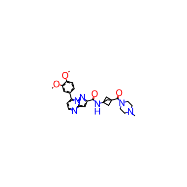 COc1ccc(-c2ccnc3cc(C(=O)NC45CC(C(=O)N6CCN(C)CC6)(C4)C5)nn23)cc1OC